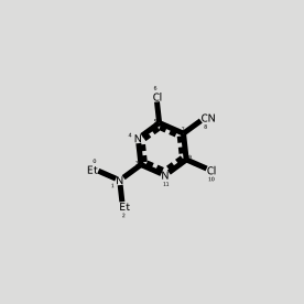 CCN(CC)c1nc(Cl)c(C#N)c(Cl)n1